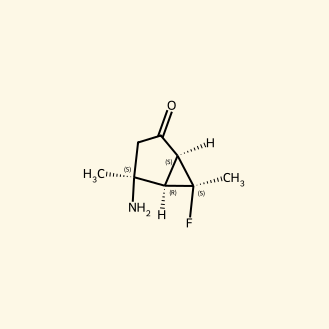 C[C@@]1(F)[C@@H]2C(=O)C[C@](C)(N)[C@@H]21